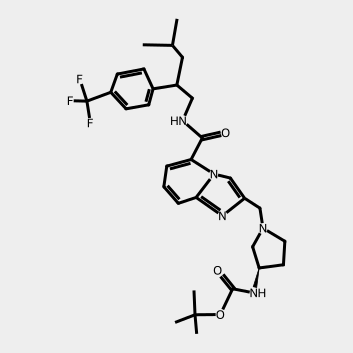 CC(C)CC(CNC(=O)c1cccc2nc(CN3CC[C@@H](NC(=O)OC(C)(C)C)C3)cn12)c1ccc(C(F)(F)F)cc1